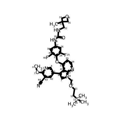 COc1ncc(-c2cn(COCCS(C)(C)C)c3nccc(Oc4c(F)cc(NC(=O)NCC5(C)COC5)cc4F)c23)cc1C#N